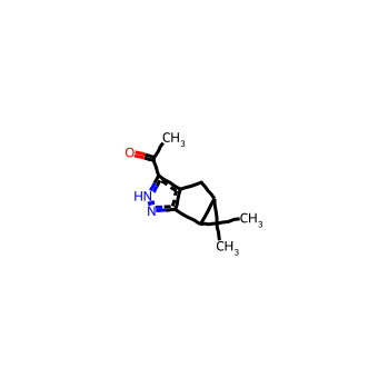 CC(=O)c1[nH]nc2c1CC1C2C1(C)C